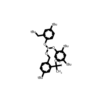 CC(C)(C)Cc1cc(C(C)(C)C)ccc1OP(OCc1ccc(C(C)(C)C)cc1C(C)(C)I)Oc1ccc(C(C)(C)C)cc1C(C)(C)C